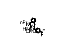 C=C(c1c(NC=O)nc(-c2ccc(C(F)F)cc2)n1Cc1ccccc1)N(C)CCC